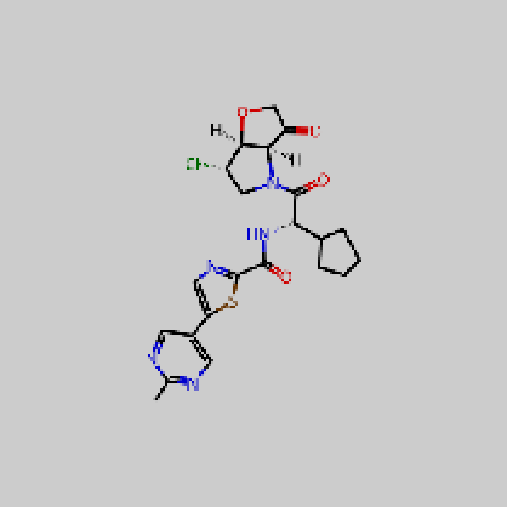 Cc1ncc(-c2cnc(C(=O)N[C@H](C(=O)N3C[C@H](Cl)[C@H]4OCC(=O)[C@H]43)C3CCCC3)s2)cn1